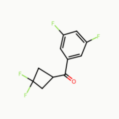 O=C(c1cc(F)cc(F)c1)C1CC(F)(F)C1